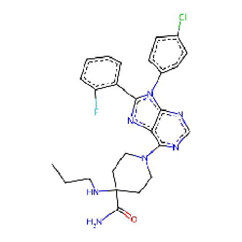 CCCNC1(C(N)=O)CCN(c2ncnc3c2nc(-c2ccccc2F)n3-c2ccc(Cl)cc2)CC1